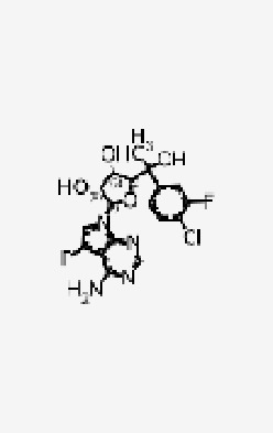 C[C@@](O)(c1ccc(Cl)c(F)c1)[C@H]1O[C@@H](n2cc(F)c3c(N)ncnc32)[C@H](O)[C@@H]1O